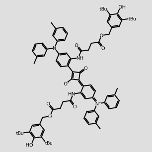 Cc1cccc(N(c2cccc(C)c2)c2ccc(C3=C([O-])/C(=C4/C=CC(=[N+](c5cccc(C)c5)c5cccc(C)c5)C=C4NC(=O)CCC(=O)OCc4cc(C(C)(C)C)c(O)c(C(C)(C)C)c4)C3=O)c(NC(=O)CCC(=O)OCc3cc(C(C)(C)C)c(O)c(C(C)(C)C)c3)c2)c1